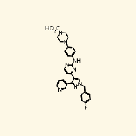 O=C(O)N1CCN(c2ccc(Nc3nccc(-c4cn(Cc5ccc(F)cc5)nc4-c4cccnc4)n3)cc2)CC1